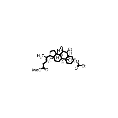 CCC(=O)O[C@@H]1CC[C@@]2(C)[C@@H](C1)C(CC)C(=O)[C@@H]1[C@@H]2CC[C@]2(C)[C@@H]([C@H](C)CCC(=O)OC)CC[C@@H]12